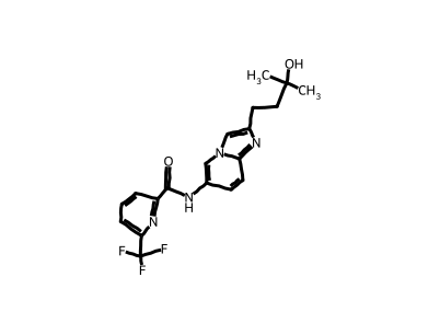 CC(C)(O)CCc1cn2cc(NC(=O)c3cccc(C(F)(F)F)n3)ccc2n1